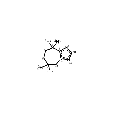 [2H]C1([2H])CCC([2H])([2H])c2ncnn2C1